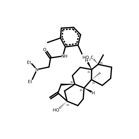 C=C1C[C@@]23CC[C@H]4[C@@](C)(CCC[C@@]4(C)C(=O)O)[C@@H]2CC[C@]1(O)C3.CCN(CC)CC(=O)Nc1c(C)cccc1C